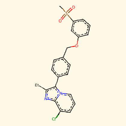 CCc1nc2c(Cl)cccn2c1-c1ccc(COc2cccc(S(C)(=O)=O)c2)cc1